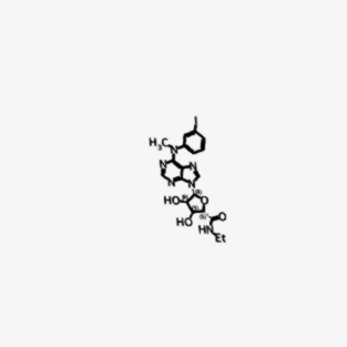 CCNC(=O)[C@H]1O[C@@H](n2cnc3c(N(C)c4cccc(I)c4)ncnc32)[C@H](O)[C@@H]1O